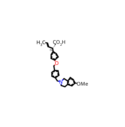 CC=C[C@H](CC(=O)O)c1ccc(OCc2ccc(CN3CCc4cc(OC)ccc4C3)cc2)cc1